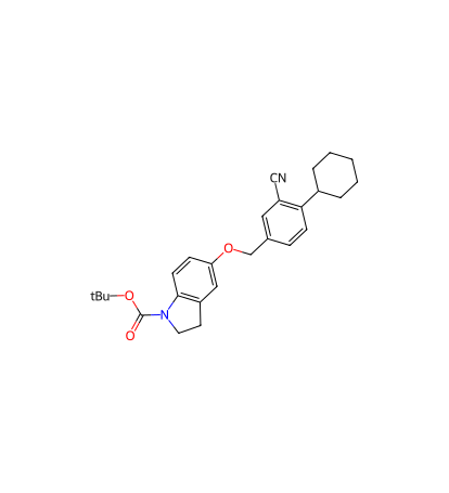 CC(C)(C)OC(=O)N1CCc2cc(OCc3ccc(C4CCCCC4)c(C#N)c3)ccc21